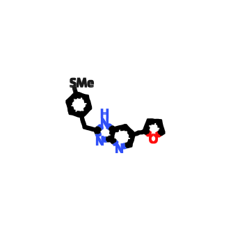 CSc1ccc(Cc2nc3ncc(-c4ccco4)cc3[nH]2)cc1